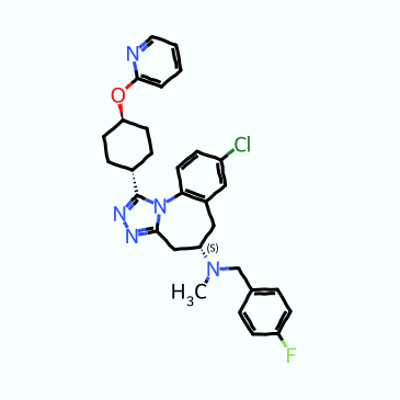 CN(Cc1ccc(F)cc1)[C@H]1Cc2cc(Cl)ccc2-n2c(nnc2[C@H]2CC[C@H](Oc3ccccn3)CC2)C1